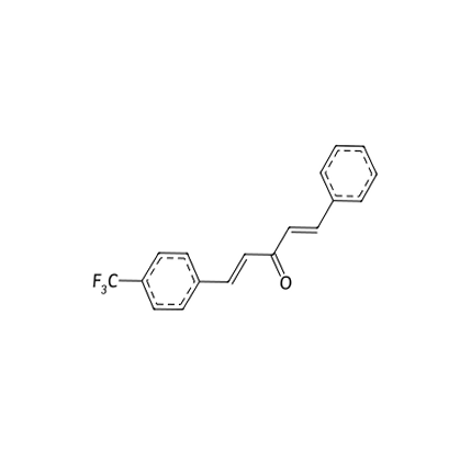 O=C(C=Cc1ccccc1)C=Cc1ccc(C(F)(F)F)cc1